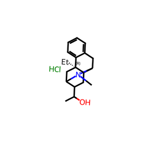 CC[C@@]12CC3C(C(C)O)CC1C(Cc1ccccc12)N3C.Cl